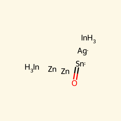 [Ag].[InH3].[InH3].[O]=[Sn].[Zn].[Zn]